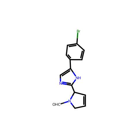 O=CN1CC=CC1c1ncc(-c2ccc(Br)cc2)[nH]1